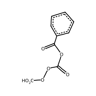 O=C(O)OOC(=O)OC(=O)c1ccccc1